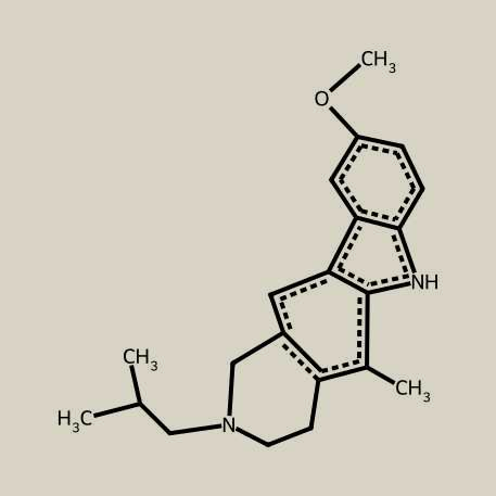 COc1ccc2[nH]c3c(C)c4c(cc3c2c1)CN(CC(C)C)CC4